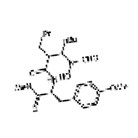 CCCCC(C(CC(C)C)C(=O)N[C@@H](Cc1ccc(OC)cc1)C(=O)NC)N(O)C=O